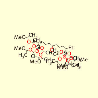 CCC(CCCC(=O)CCCC(CC)[Si](OC(C)OC(C)OC)(OC(C)OC(C)OC)OC(C)OC(C)OC)[Si](OC(C)OC(C)OC)(OC(C)OC(C)OC)OC(C)OC(C)OC